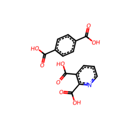 O=C(O)c1ccc(C(=O)O)cc1.O=C(O)c1cccnc1C(=O)O